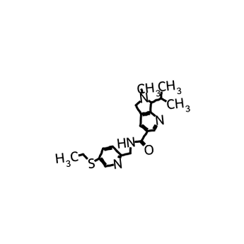 CCSc1ccc(CNC(=O)c2cnc3c(c2)CN(C)C3C(C)C)nc1